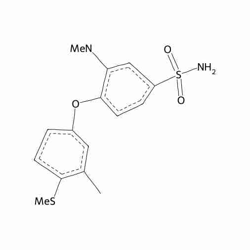 CNc1cc(S(N)(=O)=O)ccc1Oc1ccc(SC)c(C)c1